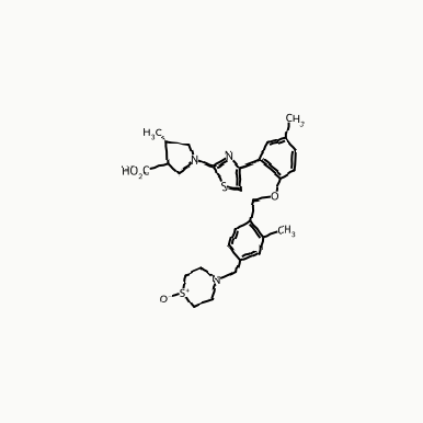 Cc1ccc(OCc2ccc(CN3CC[S+]([O-])CC3)cc2C)c(-c2csc(N3CC(C(=O)O)[C@H](C)C3)n2)c1